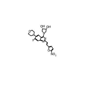 O=[N+]([O-])c1ccc(/C=C/c2nc(N3C[C@H](O)[C@@H](O)C3)c3cc(N4CCOCC4)c(F)cc3n2)o1